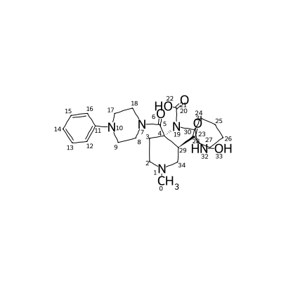 CN1CC[C@](C(=O)N2CCN(c3ccccc3)CC2)(N(C(=O)O)C2CCCCC2)[C@@H](C(=O)NO)C1